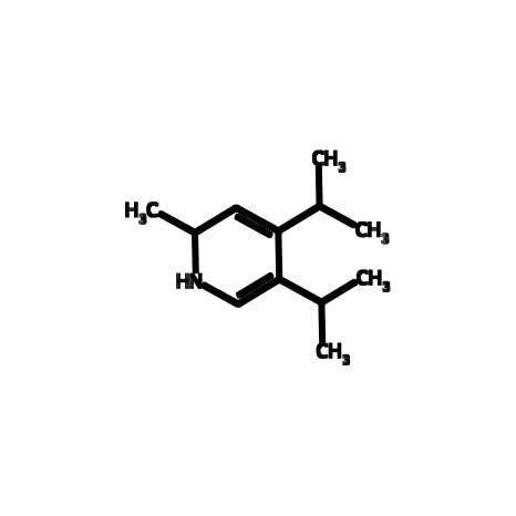 CC1C=C(C(C)C)C(C(C)C)=CN1